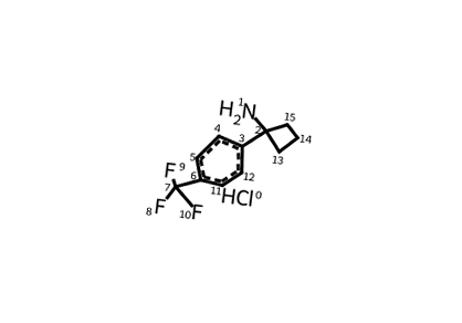 Cl.NC1(c2ccc(C(F)(F)F)cc2)CCC1